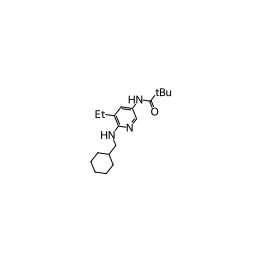 CCc1cc(NC(=O)C(C)(C)C)cnc1NCC1CCCCC1